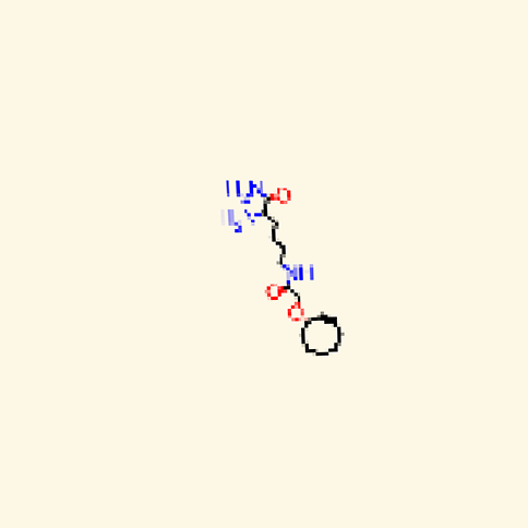 NC(=O)[C@H](N)CCCCNC(=O)COC1C#CCCCCC1